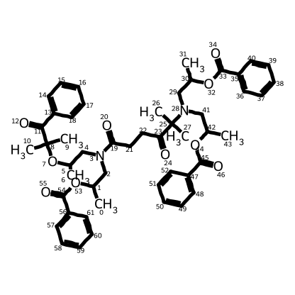 CC(CN(CC(C)OC(C)(C)C(=O)c1ccccc1)C(=O)CCC(=O)C(C)(C)N(CC(C)OC(=O)c1ccccc1)CC(C)OC(=O)c1ccccc1)OC(=O)c1ccccc1